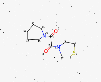 O=C(C(=O)N1CCSCC1)N1CCCCC1